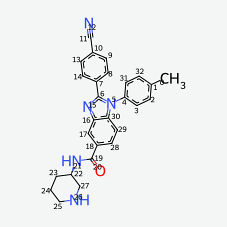 Cc1ccc(-n2c(-c3ccc(C#N)cc3)nc3cc(C(=O)N[C@@H]4CCCNC4)ccc32)cc1